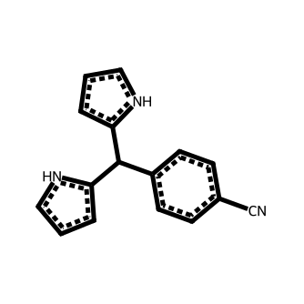 N#Cc1ccc(C(c2ccc[nH]2)c2ccc[nH]2)cc1